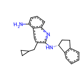 Nc1cccc2nc(N[C@@H]3CCc4ccccc43)c(CC3CC3)cc12